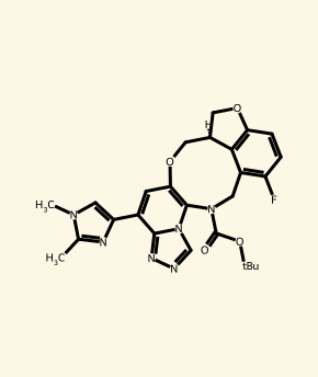 Cc1nc(-c2cc3c(n4cnnc24)N(C(=O)OC(C)(C)C)Cc2c(F)ccc4c2[C@H](CO4)CO3)cn1C